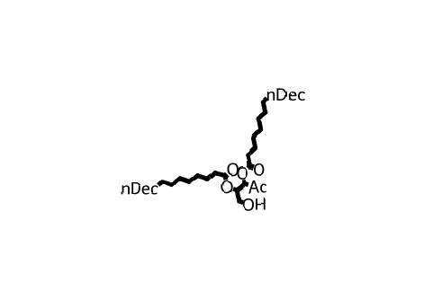 CCCCCCCCCCCCCCCCCC(=O)OC(CO)C(OC(=O)CCCCCCCCCCCCCCCCC)C(C)=O